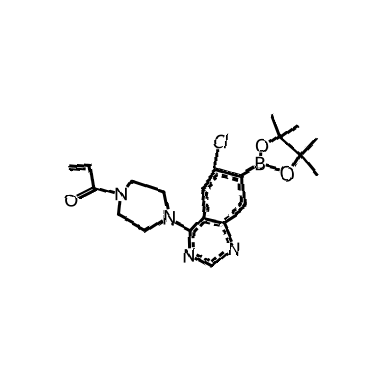 C=CC(=O)N1CCN(c2ncnc3cc(B4OC(C)(C)C(C)(C)O4)c(Cl)cc23)CC1